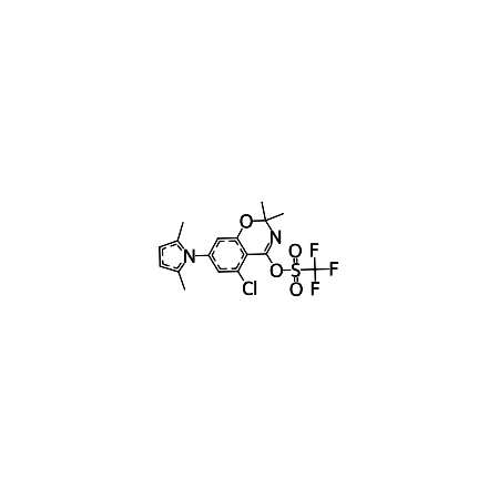 Cc1ccc(C)n1-c1cc(Cl)c2c(c1)OC(C)(C)N=C2OS(=O)(=O)C(F)(F)F